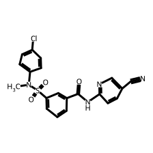 CN(c1ccc(Cl)cc1)S(=O)(=O)c1cccc(C(=O)Nc2ccc(C#N)cn2)c1